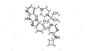 CC(C)(C)N1CCN(Cc2ccnc(Nc3nc4ccc(-c5cc(NC6CCC6)ncn5)cc4[nH]3)c2)CC1